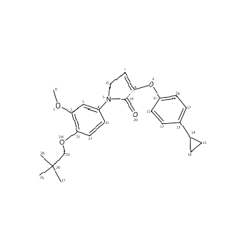 COc1cc(N2CC=C(Oc3ccc(C4CC4)cc3)C2=O)ccc1OCC(C)(C)C